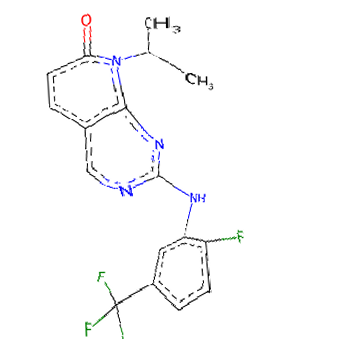 CC(C)n1c(=O)ccc2cnc(Nc3cc(C(F)(F)F)ccc3F)nc21